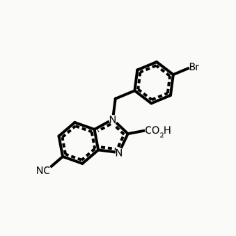 N#Cc1ccc2c(c1)nc(C(=O)O)n2Cc1ccc(Br)cc1